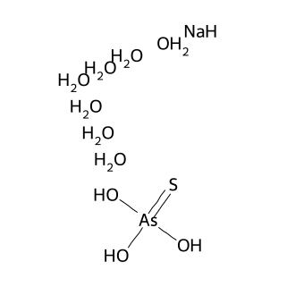 O.O.O.O.O.O.O.O[As](O)(O)=S.[NaH]